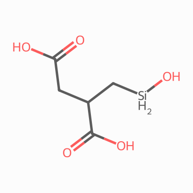 O=C(O)CC(C[SiH2]O)C(=O)O